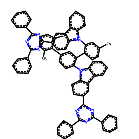 N#Cc1ccc(-c2cc(-c3c(C(F)(F)F)cccc3C(F)(F)F)ccc2-n2c3ccccc3c3cc(-c4nc(-c5ccccc5)nc(-c5ccccc5)n4)ccc32)c(-n2c3ccccc3c3cc(-c4nc(-c5ccccc5)nc(-c5ccccc5)n4)ccc32)c1